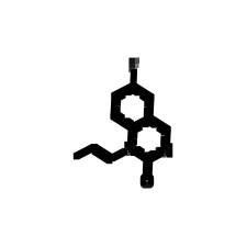 CC=Cn1c(=O)ncc2cc(F)ccc21